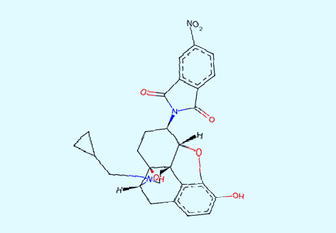 O=C1c2ccc([N+](=O)[O-])cc2C(=O)N1[C@@H]1CC[C@@]2(O)[C@H]3Cc4ccc(O)c5c4[C@@]2(CCN3CC2CC2)[C@H]1O5